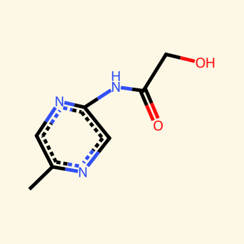 Cc1cnc(NC(=O)CO)cn1